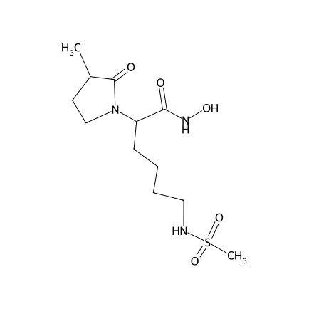 CC1CCN(C(CCCCNS(C)(=O)=O)C(=O)NO)C1=O